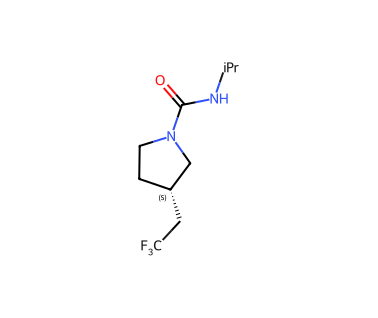 CC(C)NC(=O)N1CC[C@@H](CC(F)(F)F)C1